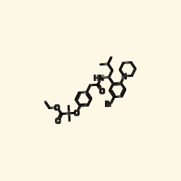 CCOC(=O)C(C)(C)Oc1ccc(CC(=O)NC(CC(C)C)c2cc(Br)ccc2N2CCCCC2)cc1